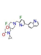 O=C1CO[C@@]2(CCN(Cc3ncc(-c4ccc5cccnc5c4)cc3F)C[C@H]2F)CN1C1CC1